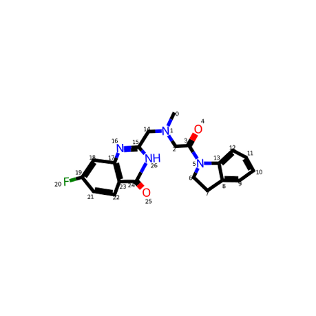 CN(CC(=O)N1CCc2ccccc21)Cc1nc2cc(F)ccc2c(=O)[nH]1